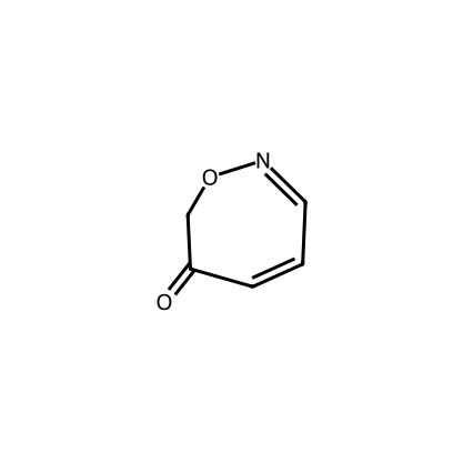 O=C1C=CC=NOC1